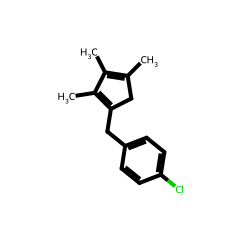 CC1=C(C)C(C)=C(Cc2ccc(Cl)cc2)C1